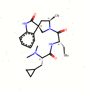 CN(C)[C@@H](CC1CC1)C(=O)N[C@@H](CC(C)(C)C)C(=O)N1C[C@]2(C[C@H]1C#N)C(=O)Nc1ccccc12